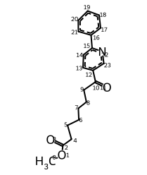 COC(=O)CCCCCCC(=O)c1ccc(-c2ccccc2)nc1